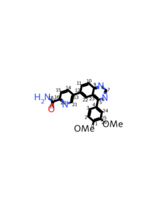 COc1ccc(-c2ncnc3ccc(-c4ccc(C(N)=O)nc4)cc23)cc1OC